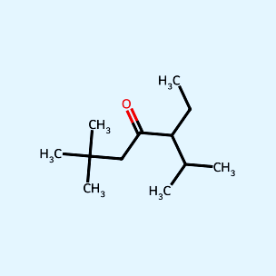 CCC(C(=O)CC(C)(C)C)C(C)C